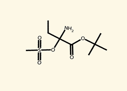 CCC(N)(OS(C)(=O)=O)C(=O)OC(C)(C)C